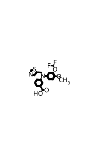 COc1ccc(N(Cc2cncs2)c2cccc(C(=O)O)c2)cc1OC(F)F